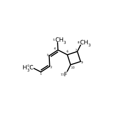 C/C=C\C=C(\C)C1C(C)CC1F